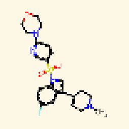 CN1CC=C(c2cn(S(=O)(=O)c3ccc(N4CCOCC4)nc3)c3ccc(F)cc23)CC1